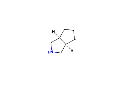 [CH]1CC[C@@H]2CNC[C@H]12